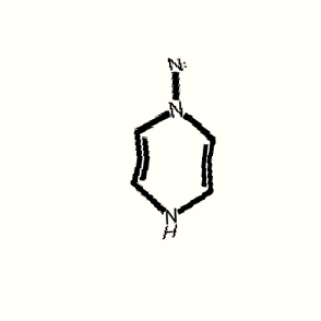 [N]N1C=CNC=C1